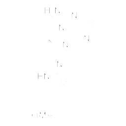 COc1ccc(NC(=O)N2CCN(c3nc(N)nc4scnc34)[C@H](C)C2)c(C)c1